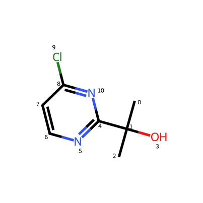 CC(C)(O)c1nccc(Cl)n1